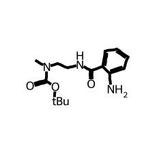 CN(CCNC(=O)c1ccccc1N)C(=O)OC(C)(C)C